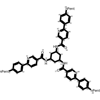 CCCCCc1ccc(-c2ccc(C(=O)NC3CC(NC(=O)c4ccc(-c5ccc(CCCCC)cc5)nc4)CC(NC(=O)c4ccc(-c5ccc(CCCCC)cc5)nc4)C3)cn2)cc1